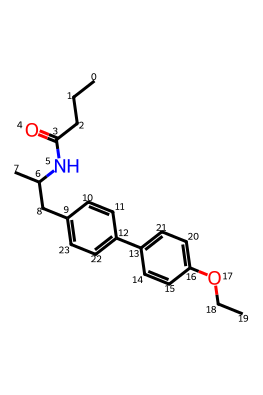 CCCC(=O)NC(C)Cc1ccc(-c2ccc(OCC)cc2)cc1